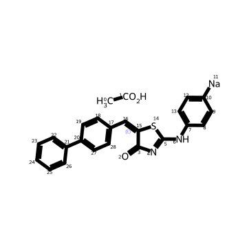 CC(=O)O.O=C1N=C(Nc2cc[c]([Na])cc2)S/C1=C/c1ccc(-c2ccccc2)cc1